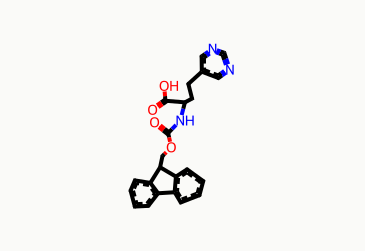 O=C(NC(CCc1cncnc1)C(=O)O)OCC1c2ccccc2-c2ccccc21